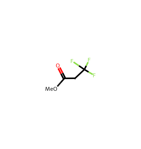 COC(=O)[CH]C(F)(F)F